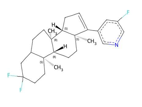 C[C@@]12CCC3CC(F)(F)CC[C@]3(C)[C@H]1CC[C@]1(C)C(c3cncc(F)c3)=CC[C@@H]21